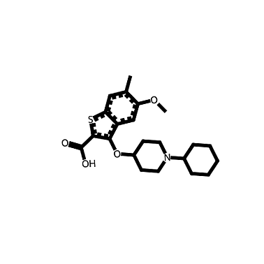 COc1cc2c(OC3CCN(C4CCCCC4)CC3)c(C(=O)O)sc2cc1C